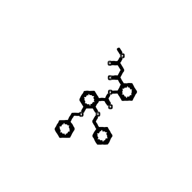 COC(=O)CC(=O)c1ccccc1OC(=O)c1cccc(OCc2ccccc2)c1OCc1ccccc1